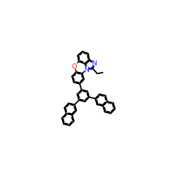 CCc1nc2cccc3c2n1-c1cc(-c2cc(-c4ccc5ccccc5c4)cc(-c4ccc5ccccc5c4)c2)ccc1O3